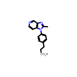 Cc1nc2cnccc2n1-c1ccc(CCC(=O)O)cc1